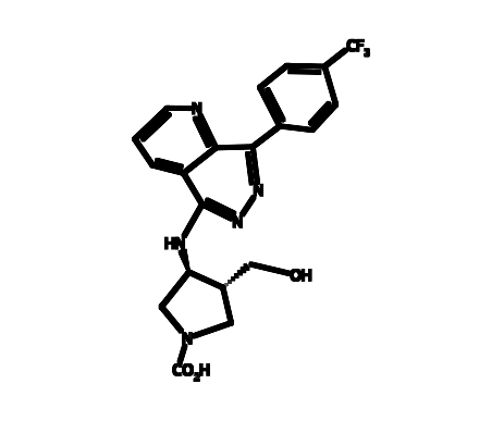 O=C(O)N1C[C@@H](CO)[C@H](Nc2nnc(-c3ccc(C(F)(F)F)cc3)c3ncccc23)C1